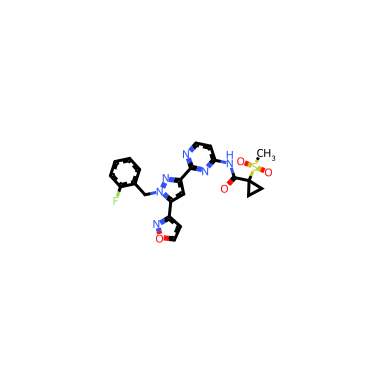 CS(=O)(=O)C1(C(=O)Nc2ccnc(-c3cc(-c4ccon4)n(Cc4ccccc4F)n3)n2)CC1